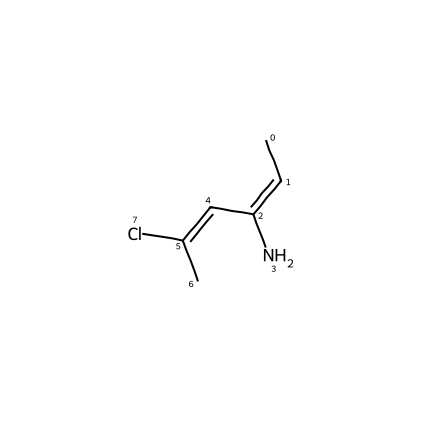 C/C=C(N)\C=C(/C)Cl